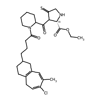 CCOC(=O)[C@H]1NCC(=S)C1C(=O)C1CCCCN1C(=O)CCCC1CCC2=C(C=C(C)C(Cl)=CC2)C1